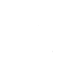 Oc1cccc2cnoc12